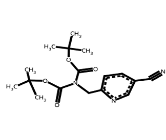 CC(C)(C)OC(=O)N(Cc1ccc(C#N)cn1)C(=O)OC(C)(C)C